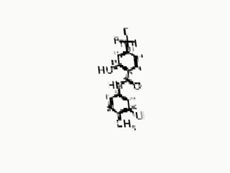 Cc1ccc(NC(=O)c2ccc(C(F)(F)F)cc2O)cc1Cl